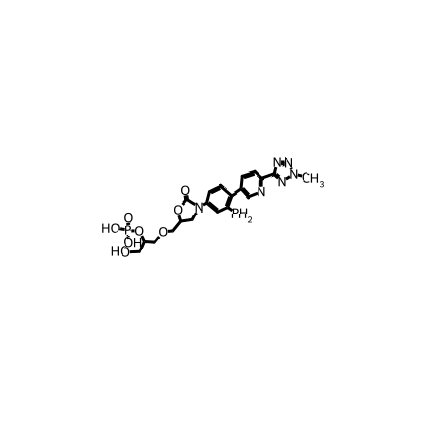 Cn1nnc(-c2ccc(-c3ccc(N4CC(COCC(CO)OP(=O)(O)O)OC4=O)cc3P)cn2)n1